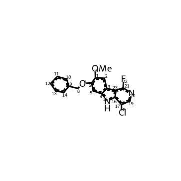 COc1cc2c(cc1OCc1ccccc1)[nH]c1c(Cl)cnc(F)c12